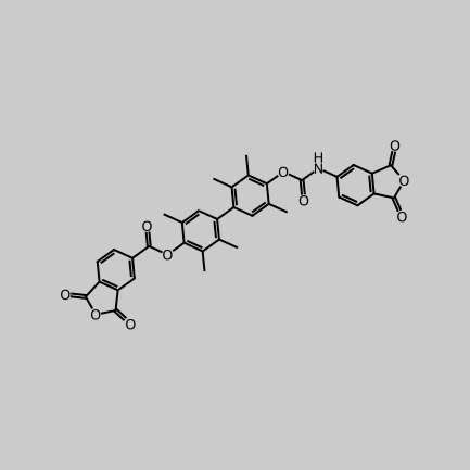 Cc1cc(-c2cc(C)c(OC(=O)c3ccc4c(c3)C(=O)OC4=O)c(C)c2C)c(C)c(C)c1OC(=O)Nc1ccc2c(c1)C(=O)OC2=O